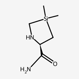 C[Si]1(C)CN[C@H](C(N)=O)C1